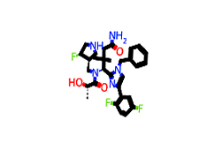 C[C@H](O)C(=O)N(C[C@@H]1CNC[C@@H]1F)[C@@H](c1nc(-c2cc(F)ccc2F)cn1Cc1ccccc1)C(C)(C)CC(N)=O